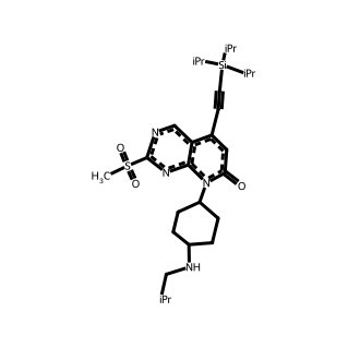 CC(C)CNC1CCC(n2c(=O)cc(C#C[Si](C(C)C)(C(C)C)C(C)C)c3cnc(S(C)(=O)=O)nc32)CC1